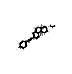 CCC[C@@H]1CC[C@@H]2c3ccc(C#Cc4ccc(Cl)cc4)cc3CC[C@@H]2C1